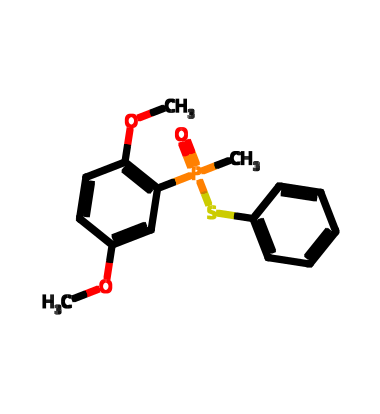 COc1ccc(OC)c(P(C)(=O)Sc2ccccc2)c1